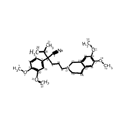 COc1ccc(C(C#N)(CCCN2CCc3cc(OC)c(OC)cc3C2)C(C)C)cc1OC